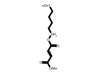 CCCCCCCCCCCC[SiH2]OC(=O)C=CC(=O)OC